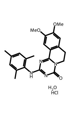 COc1cc2c(cc1OC)-c1nc(Nc3c(C)cc(C)cc3C)nc(=O)n1CC2.Cl.O